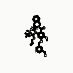 C=CCOC(=O)N1c2cc(OCc3cncc(CCl)c3)c(OC)cc2C(=O)N2Cc3ccccc3C[C@H]2C1O[Si](C)(C)C(C)(C)C